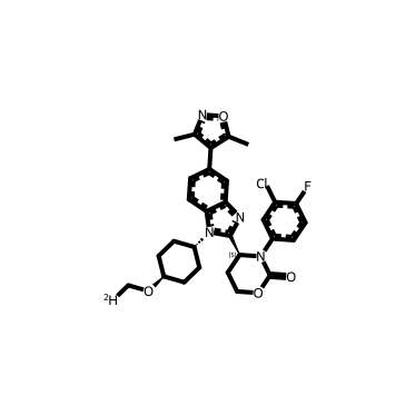 [2H]CO[C@H]1CC[C@H](n2c([C@@H]3CCOC(=O)N3c3ccc(F)c(Cl)c3)nc3cc(-c4c(C)noc4C)ccc32)CC1